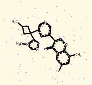 Cc1cc(Br)cc2c(=O)c(-c3cncc(C4(c5nncn5C)CC(C)C4)c3)coc12